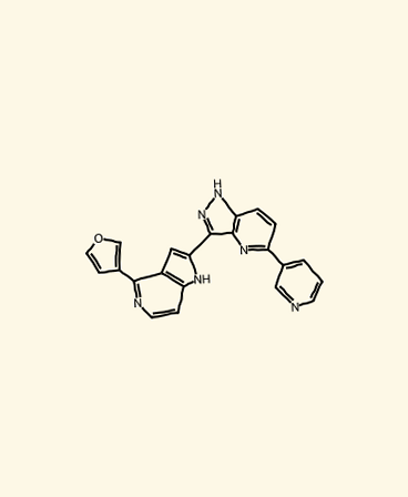 c1cncc(-c2ccc3[nH]nc(-c4cc5c(-c6ccoc6)nccc5[nH]4)c3n2)c1